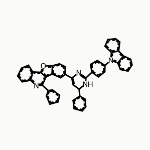 C1=C(c2ccc3oc4c5ccccc5nc(-c5ccccc5)c4c3c2)N=C(c2ccc(-n3c4ccccc4c4ccccc43)cc2)NC1c1ccccc1